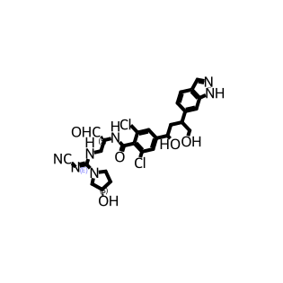 N#C/N=C(\NC[C@@H](C=O)NC(=O)c1c(Cl)cc(C(O)CC(CO)c2ccc3cn[nH]c3c2)cc1Cl)N1CC[C@H](O)C1